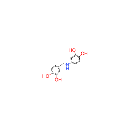 Oc1ccc(CNc2ccc(O)c(O)c2)cc1O